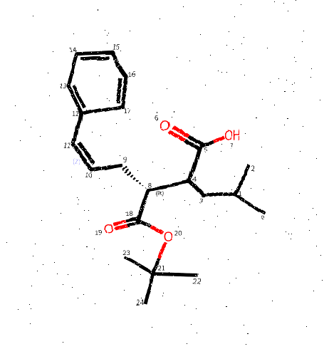 CC(C)CC(C(=O)O)[C@@H](C/C=C\c1ccccc1)C(=O)OC(C)(C)C